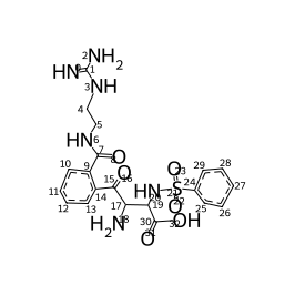 N=C(N)NCCNC(=O)c1ccccc1C(=O)C(N)C(NS(=O)(=O)c1ccccc1)C(=O)O